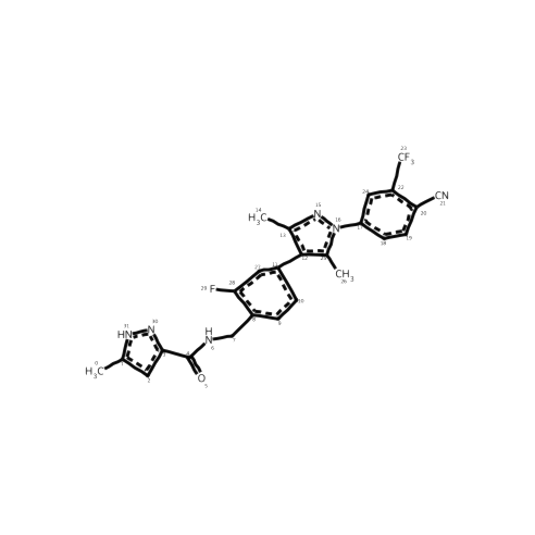 Cc1cc(C(=O)NCc2ccc(-c3c(C)nn(-c4ccc(C#N)c(C(F)(F)F)c4)c3C)cc2F)n[nH]1